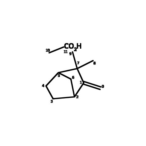 C=C1C2CCC(C2)C1(C)C.CC(=O)O